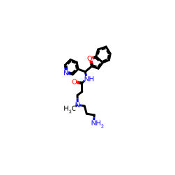 CN(CCCN)CCC(=O)NC(c1cccnc1)c1cc2ccccc2o1